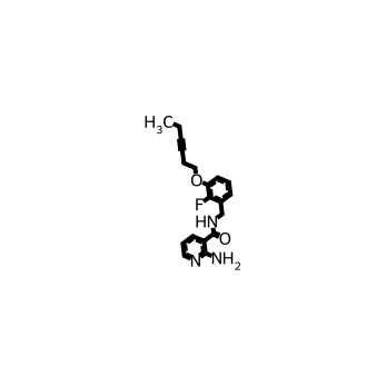 CCC#CCCOc1cccc(CNC(=O)c2cccnc2N)c1F